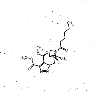 CCCCCC(=O)[N+]12CC(C1=O)C2(C)Cn1nnc(C(=O)OC)c1C(=O)OC